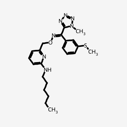 CCCCCCNc1cccc(CO/N=C(\c2cccc(SC)c2)c2nnnn2C)n1